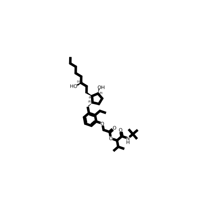 CCCCC[C@H](O)CC[C@@H]1[C@@H](Cc2cccc(OCC(=O)OC(C(=O)NC(C)(C)C)C(C)C)c2CC)CC[C@H]1O